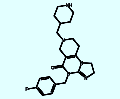 O=C1C2=C(CCN(CC3CCNCC3)C2)N2CCN=C2N1Cc1ccc(F)cc1